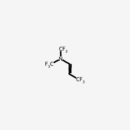 FC(F)(F)C=CN(C(F)(F)F)C(F)(F)F